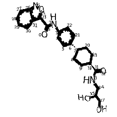 O=C(Nc1ccc([C@H]2CC[C@H](C(=O)NCC(O)CO)CC2)cc1)c1onc2ccccc12